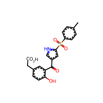 Cc1ccc(S(=O)(=O)c2cc(C(=O)c3cc(CC(=O)O)ccc3O)c[nH]2)cc1